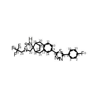 Fc1ccc(-c2nnc(-c3ccc4c(c3)CC3CCC(C4)C34CN(CC(F)(F)F)SN4)s2)cc1